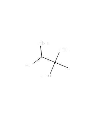 CCCCC([C]=O)C(C)(CCCC)CCCC